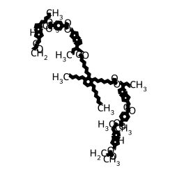 C=CC(=O)OCC1CC2C3CC(CC3CC(C)(CCC)OC(=O)C3CCC(C(=O)OCC4CC5C6CC(C(CCC)COC(=O)CCCCCCC7C(CCCCCC)CCC(CCCCCCCC)C7CCCCCCC(=O)OCC(CCC)C7CC8CC7C7CC(COC(=O)C9CCC(C(=O)OC(C)(C)CC%10CC%11CC%10C%10CC(COC(=O)C(=C)C)C[C@H]%11%10)CC9)CC87)C(C6)C5C4)CC3)[C@H]2C1